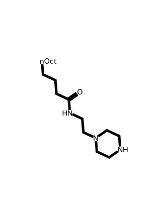 CCCCCCCCCCCC(=O)NCCN1CCNCC1